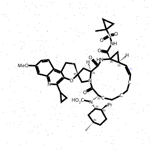 COc1ccc2c3c(c(C4CC4)nc2c1)O[C@]1(CC3)C[C@H]2C(=O)N[C@]3(C(=O)NS(=O)(=O)C4(C)CC4)C[C@H]3/C=C\CCCCC[C@H](N(C(=O)O)[C@H]3C[C@@H](C)CC[C@@H]3C(C)C)C(=O)N2C1